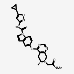 CNC(=O)CN1Cc2ncnc(Oc3ccc4c(ccn4C(=O)Nc4cc(C5CC5)on4)c3)c2C[C@@H]1C